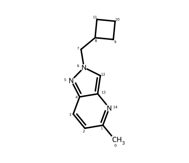 Cc1ccc2nn(CC3CCC3)cc2n1